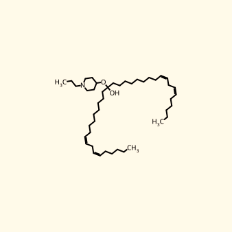 CCCCC/C=C\C/C=C\CCCCCCCCC(O)(CCCCCCCC/C=C\C/C=C\CCCCC)OC1CCN(CCC)CC1